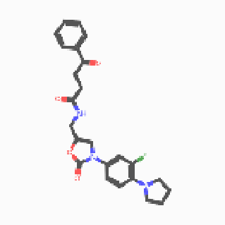 O=C(CCC(=O)c1ccccc1)NCC1CN(c2ccc(N3CCCC3)c(F)c2)C(=O)O1